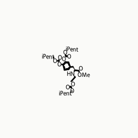 CCCC(C)OC(=O)OCCN[C@@H](Cc1ccc(OC(=O)OC(C)CCC)c(OC(=O)OC(C)CCC)c1)C(=O)OC